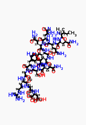 CC[C@H](C)[C@H](N)C(=O)N[C@@H](CCC(N)=O)C(=O)N[C@@H](CCC(N)=O)C(=O)N[C@@H](CCC(N)=O)C(=O)N[C@@H](CCC(N)=O)C(=O)N[C@@H](CCC(N)=O)C(=O)N[C@@H](CCC(N)=O)C(=O)N[C@@H](CCC(N)=O)C(=O)N[C@@H](CO)C(=O)N[C@@H](Cc1ccccc1)C(=O)NCC(=O)N[C@@H](CCCNC(=N)N)C(=O)NCC(=O)N[C@@H](CC(=O)O)C(=O)O